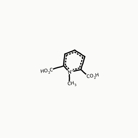 C[n+]1c(C(=O)O)cccc1C(=O)O